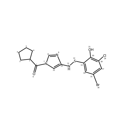 O=C(C1CCCC1)n1cnc(NSc2cc(Br)cc(Cl)c2O)c1